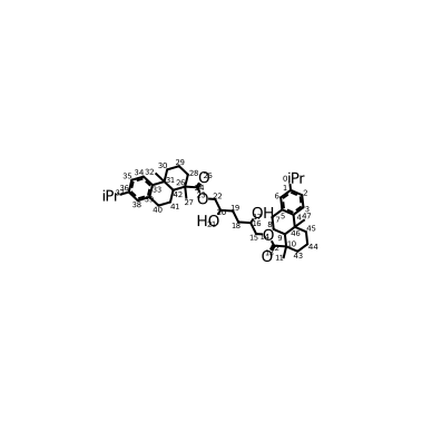 CC(C)c1ccc2c(c1)CCC1C(C)(C(=O)OCC(O)CCC(O)COC(=O)C3(C)CCCC4(C)c5ccc(C(C)C)cc5CCC34)CCCC21C